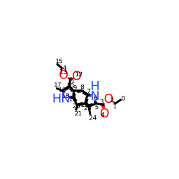 CCOC(=O)c1[nH]c2cc3c(C(=O)OCC)c(C)[nH]c3c(C)c2c1C